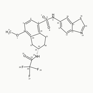 COc1ccc(S(=O)(=O)Nc2ccc3ncsc3c2)c2c1C[C@@H](NC(=O)C(F)(F)F)CC2